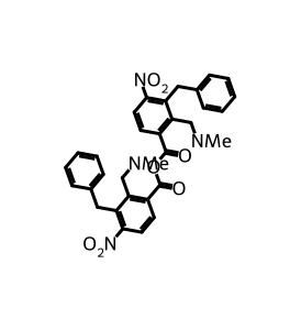 CNCc1c(C(=O)OC(=O)c2ccc([N+](=O)[O-])c(Cc3ccccc3)c2CNC)ccc([N+](=O)[O-])c1Cc1ccccc1